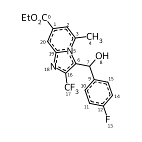 CCOC(=O)c1cc(C)n2c(C(O)c3ccc(F)cc3)c(C(F)(F)F)nc2c1